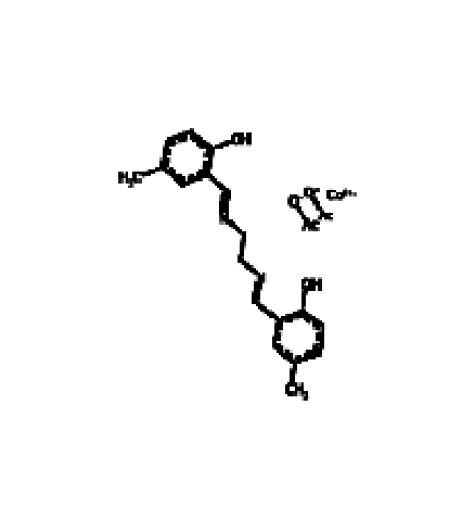 CC(=O)[O-].CC(=O)[O-].Cc1ccc(O)c(C=NCCN=Cc2cc(C)ccc2O)c1.[Co+2]